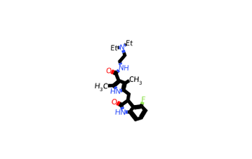 CCN(CC)CCNC(=O)c1c(C)[nH]c(CC2C(=O)Nc3cccc(F)c32)c1C